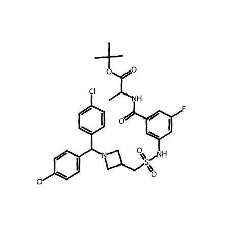 CC(NC(=O)c1cc(F)cc(NS(=O)(=O)CC2CN(C(c3ccc(Cl)cc3)c3ccc(Cl)cc3)C2)c1)C(=O)OC(C)(C)C